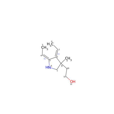 C/C=C1\C(=C/C)NCC1(C)CCO